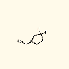 CC(=O)CN1CCC(F)(F)C1